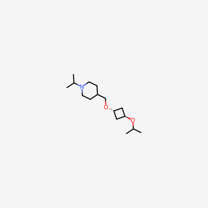 CC(C)O[C@H]1C[C@H](OCC2CCN(C(C)C)CC2)C1